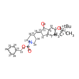 CC(C)(C)[Si](C)(C)Oc1ccc2c(c1)C(=O)/C(=C/C1CCN(C(=O)OCc3ccccc3)CC1)C2